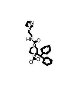 O=C(NCCn1ccnc1)N1CCN2C(=O)OC(c3ccccc3)(c3ccccc3)C2C1